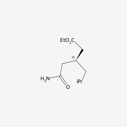 CCOC(=O)C[C@H](CC(N)=O)CC(C)C